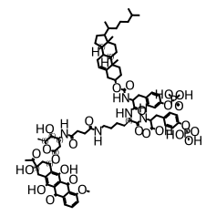 COc1cccc2c1C(=O)c1c(O)c3c(c(O)c1C2=O)C[C@@](O)(C(C)=O)C[C@@H]3O[C@H]1C[C@H](NC(=O)CCC(=O)NCCCC[C@@H](NC(=O)C(Cc2ccc(OP(=O)(O)O)cc2)NC(=O)OC2CCC3(C)C(=CCC4[C@@H]3CCC3(C)C(C(C)CCCC(C)C)CC[C@@H]43)C2)C(=O)NC(Cc2ccc(OP(=O)(O)O)cc2)C(=O)O)[C@H](O)[C@H](C)O1